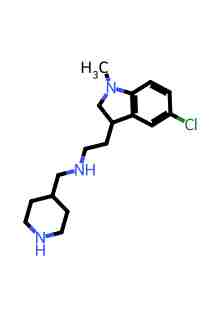 CN1CC(CCNCC2CCNCC2)c2cc(Cl)ccc21